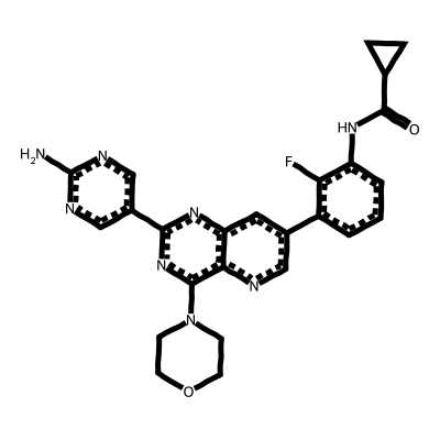 Nc1ncc(-c2nc(N3CCOCC3)c3ncc(-c4cccc(NC(=O)C5CC5)c4F)cc3n2)cn1